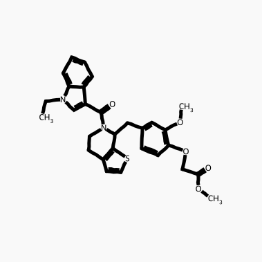 CCn1cc(C(=O)N2CCc3ccsc3C2Cc2ccc(OCC(=O)OC)c(OC)c2)c2ccccc21